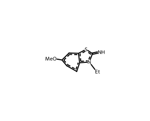 CCn1c(=N)sc2cc(OC)ccc21